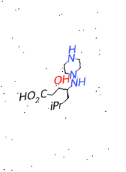 CC(C)C[C@H](NN1CCNCC1)[C@@H](O)CC(=O)O